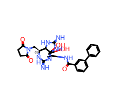 N=C1NC2[C@H](CN3C(=O)CCC3=O)NC(=N)N3CC(NC(=O)c4cccc(-c5ccccc5)c4)C(O)(O)C23N1